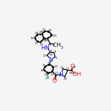 CC(N[C@H]1CCN(c2ccc(F)c(C(=O)N3CC(C(=O)O)C3)c2)C1)c1cccc2ccccc12